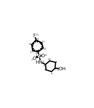 O=S(=O)(NC1CCC(O)CC1)c1ccc(F)cc1